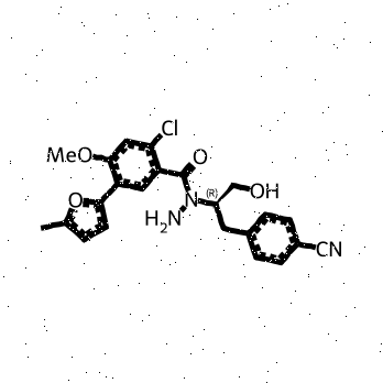 COc1cc(Cl)c(C(=O)N(N)[C@@H](CO)Cc2ccc(C#N)cc2)cc1-c1ccc(C)o1